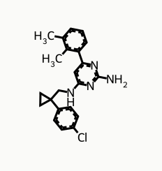 Cc1cccc(-c2cc(NCC3(c4ccc(Cl)cc4)CC3)nc(N)n2)c1C